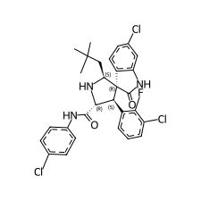 CC(C)(C)C[C@@H]1N[C@@H](C(=O)Nc2ccc(Cl)cc2)[C@H](c2cccc(Cl)c2F)[C@]12C(=O)Nc1cc(Cl)ccc12